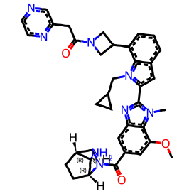 COc1cc(C(=O)N2C[C@H]3CC[C@@H]2[C@@H]3N)cc2nc(-c3cc4cccc(C5CN(C(=O)Cc6cnccn6)C5)c4n3CC3CC3)n(C)c12